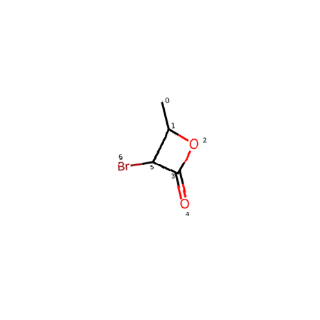 CC1OC(=O)C1Br